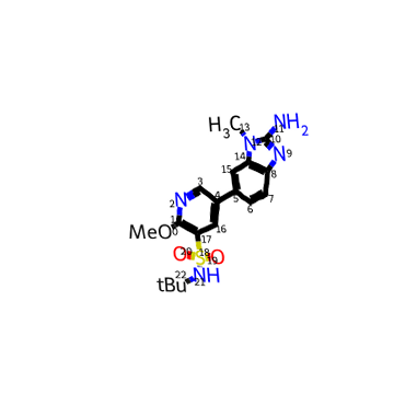 COc1ncc(-c2ccc3nc(N)n(C)c3c2)cc1S(=O)(=O)NC(C)(C)C